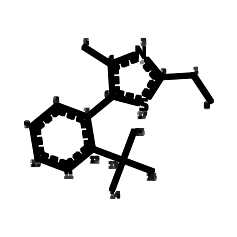 CCc1nc(C)c(-c2ccccc2C(C)(C)C)s1